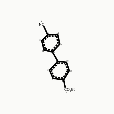 CCOC(=O)c1ccc(-c2ccc(C#N)cc2)cc1